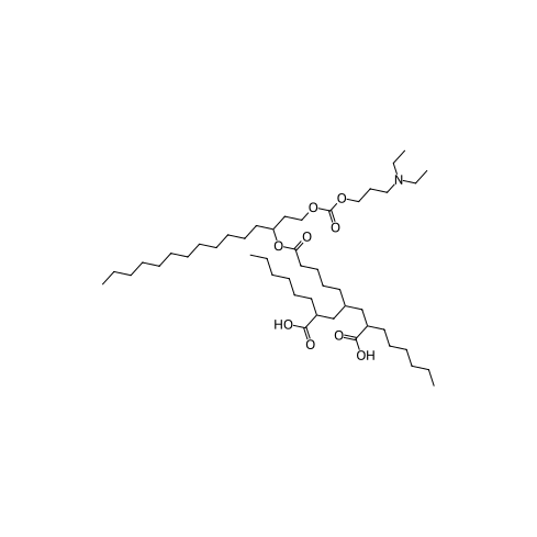 CCCCCCCCCCCCC(CCOC(=O)OCCCN(CC)CC)OC(=O)CCCCC(CC(CCCCCC)C(=O)O)CC(CCCCCC)C(=O)O